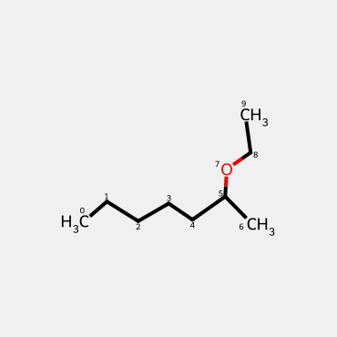 CCCCCC(C)OCC